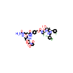 CC(C)C(NC(=O)C[C@@H](C(=O)O)N1C(=O)C=CC1=O)C(=O)N[C@@H](CCCNC(N)=O)C(=O)Nc1ccc(COC(=O)N2C[C@@H](CN(C(=O)[C@H](C)O)[C@@H](c3nc(-c4cc(F)ccc4F)cn3Cc3cccc(F)c3)C(C)(C)C)[C@@H](F)C2)cc1